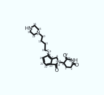 O=C1CCC(N2Cc3c(SCCCCN4CCNCC4)cccc3C2=O)C(=O)N1